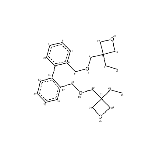 CCC1(COCc2ccccc2-c2ccccc2COCC2(CC)COC2)COC1